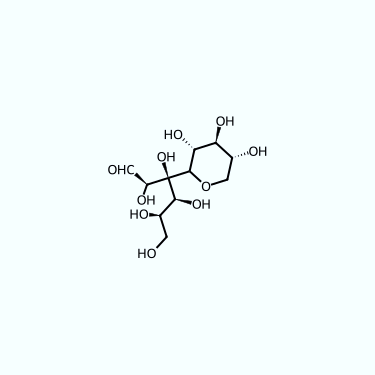 O=C[C@H](O)[C@](O)(C1OC[C@@H](O)[C@H](O)[C@H]1O)[C@@H](O)[C@H](O)CO